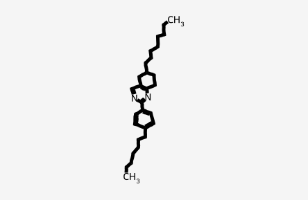 CCCCCCCCC1CCc2nc(-c3ccc(CCCCCCC)cc3)ncc2C1